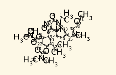 CCNC(=O)c1noc(-c2cc(C(C)C)c(OC(=O)N(C)C)cc2OC(=O)N(C)C)c1-c1ccc(CN(C)CCOCC)cc1